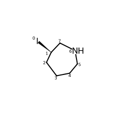 I[C@@H]1CCCCNC1